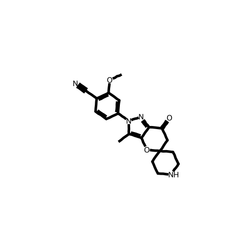 COc1cc(-n2nc3c(c2C)OC2(CCNCC2)CC3=O)ccc1C#N